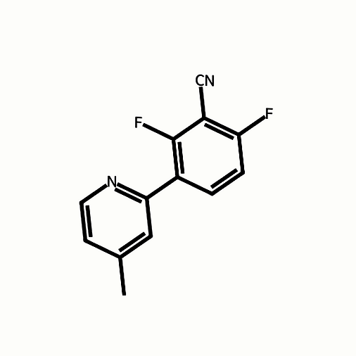 Cc1ccnc(-c2ccc(F)c(C#N)c2F)c1